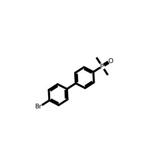 CP(C)(=O)c1ccc(-c2ccc(Br)cc2)cc1